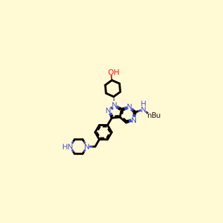 CCCCNc1ncc2c(-c3ccc(CN4CCNCC4)cc3)nn([C@H]3CC[C@H](O)CC3)c2n1